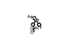 CC(=O)N1CCn2nc(-c3ccc(F)cc3)c(-c3ccnc(NC(=O)CCl)c3)c2C1